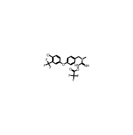 CN(Cc1ccc(Oc2ccc(Cl)c(C(F)(F)F)c2)cc1)C(=N)NOC(=O)C(F)(F)F